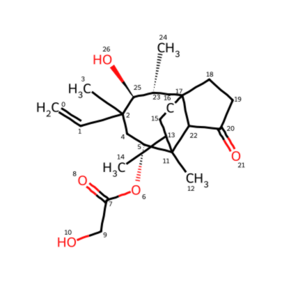 C=CC1(C)C[C@@H](OC(=O)CO)C2(C)C(C)CCC3(CCC(=O)C32)[C@@H](C)[C@@H]1O